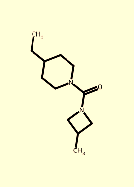 CCC1CCN(C(=O)N2CC(C)C2)CC1